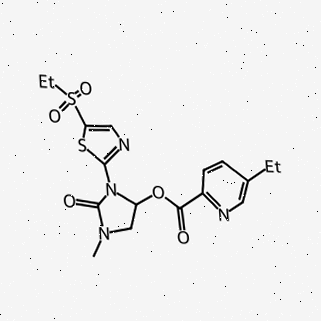 CCc1ccc(C(=O)OC2CN(C)C(=O)N2c2ncc(S(=O)(=O)CC)s2)nc1